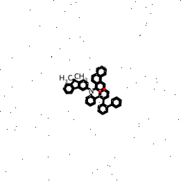 CC1(C)c2ccccc2-c2cc(N(c3ccccc3-c3ccccc3-c3ccccc3-c3ccccc3)c3cccc4c3ccc3ccccc34)ccc21